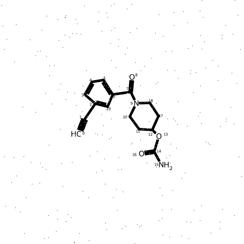 C#Cc1cccc(C(=O)N2CCC(OC(N)=O)CC2)c1